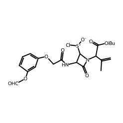 C=C(C)C(C(=O)OCC(C)C)N1C(=O)C(NC(=O)COc2cccc(OC=O)c2)C1[S+]([O-])Cl